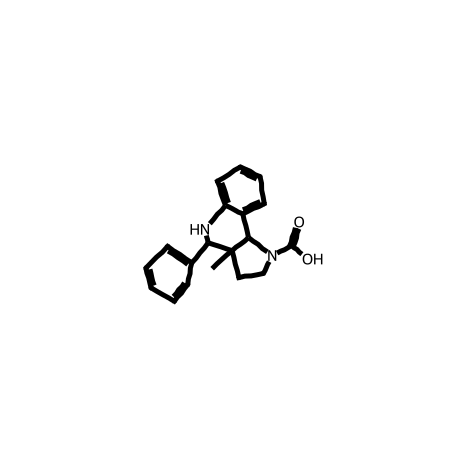 CC12CCN(C(=O)O)C1c1ccccc1NC2c1ccccc1